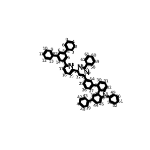 C1=CCCC(c2cc(-c3ccccc3)cc(-c3cccc(-c4cc(-c5cccc(-c6cccc7c6c6cc(-c8ccccc8)ccc6n7-c6ccccc6)c5)nc(-c5ccccc5)n4)n3)c2)=C1